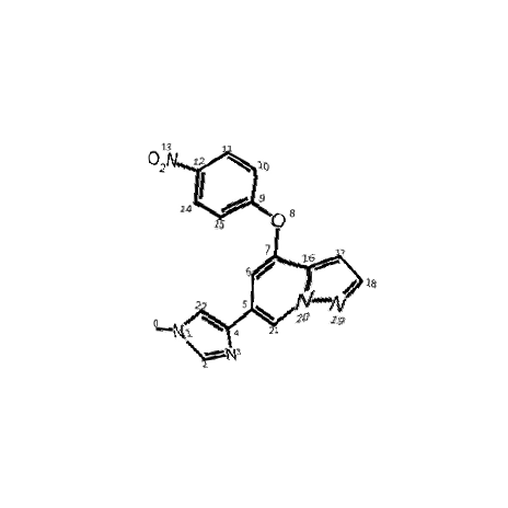 Cn1cnc(-c2cc(Oc3ccc([N+](=O)[O-])cc3)c3ccnn3c2)c1